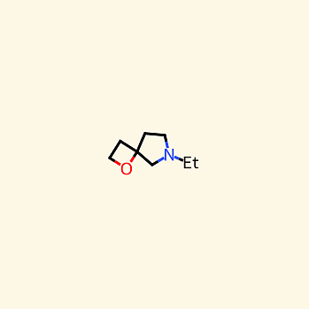 CCN1CCC2(CCO2)C1